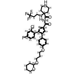 O=C(NC(=O)C1(NCCC(F)(F)F)CCNCC1)c1cc(-c2ccc(OCCCOC3CCCCO3)cc2)c(-c2ccc(F)cc2Cl)s1